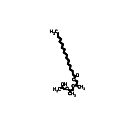 CCCCCCCCCCCCCCCCCC(=O)OCC(C)OCC(C)OCC(C)O